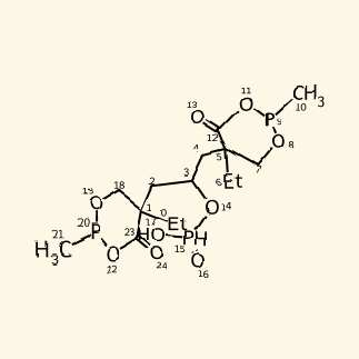 CCC1(CC(CC2(CC)COP(C)OC2=O)O[PH](=O)O)COP(C)OC1=O